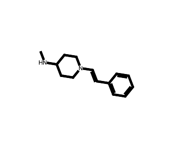 CNC1CCN(C=Cc2ccccc2)CC1